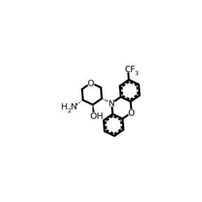 N[C@@H]1COC[C@H](N2c3ccccc3Oc3ccc(C(F)(F)F)cc32)[C@H]1O